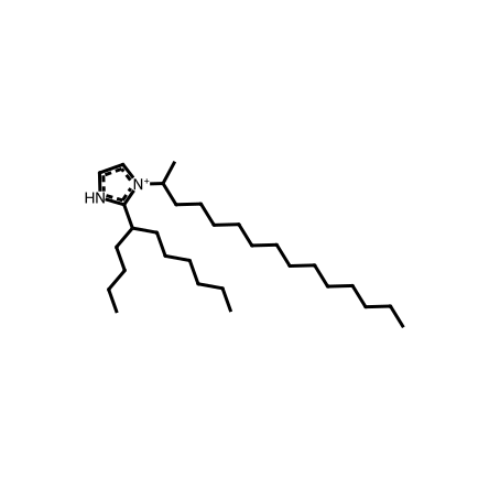 CCCCCCCCCCCCCC(C)[n+]1cc[nH]c1C(CCCC)CCCCCC